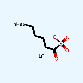 CCCCCCCCCCC(=O)S(=O)(=O)[O-].[Li+]